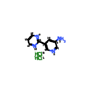 Cl.Cl.Nc1cncc(-c2ncccn2)c1